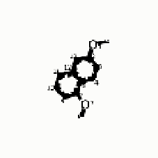 COc1ccc2c(OC)c[c]cc2c1